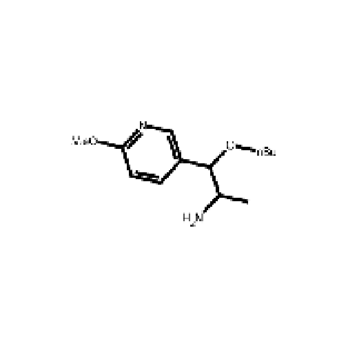 CCCCOC(c1ccc(OC)nc1)C(C)N